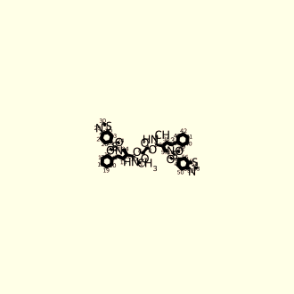 CNC(OC(=O)C(=O)OC(NC)c1cc(-c2ccccc2)n(S(=O)(=O)c2ccc3ncsc3c2)c1)c1cc(-c2ccccc2)n(S(=O)(=O)c2ccc3ncsc3c2)c1